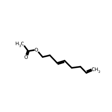 C=CCCC=CCCOC(C)=O